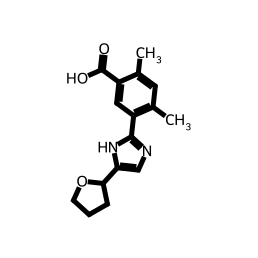 Cc1cc(C)c(-c2ncc(C3CCCO3)[nH]2)cc1C(=O)O